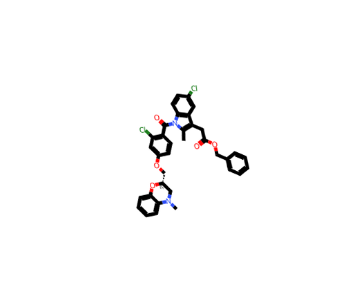 Cc1c(CC(=O)OCc2ccccc2)c2cc(Cl)ccc2n1C(=O)c1ccc(OC[C@@H]2CN(C)c3ccccc3O2)cc1Cl